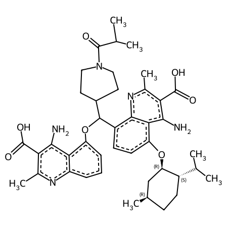 Cc1nc2cccc(OC(c3ccc(O[C@@H]4C[C@H](C)CC[C@H]4C(C)C)c4c(N)c(C(=O)O)c(C)nc34)C3CCN(C(=O)C(C)C)CC3)c2c(N)c1C(=O)O